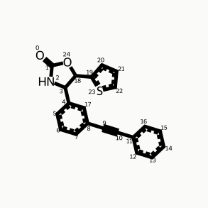 O=C1NC(c2cccc(C#Cc3ccccc3)c2)C(c2cccs2)O1